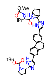 COC(=O)N[C@H](C(=O)N1C2CCC(C2)C1c1ncc(-c2ccc3c(c2)CCc2cc(-c4cnc([C@@H]5CCCN5C(=O)OC(C)(C)C)[nH]4)ccc2-3)[nH]1)C(C)C